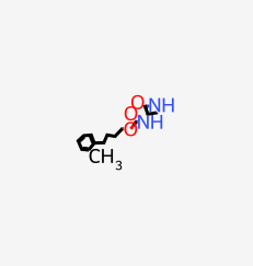 Cc1ccccc1CCCCOC(=O)N[C@H]1CNC1=O